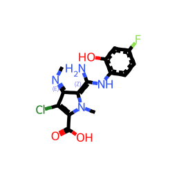 C/N=C1/C(Cl)=C(C(=O)O)N(C)/C1=C(/N)Nc1ccc(F)cc1O